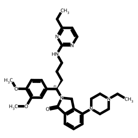 CCc1ccnc(NCCC[C@H](c2ccc(OC)c(OC)c2)N2Cc3c(cccc3N3CCN(CC)CC3)C2=O)n1